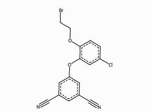 N#Cc1cc(C#N)cc(Oc2cc(Cl)ccc2OCCBr)c1